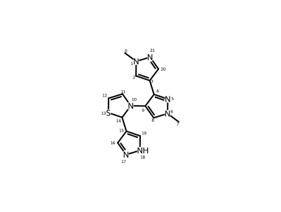 Cn1cc(-c2nn(C)cc2N2C=CSC2c2cn[nH]c2)cn1